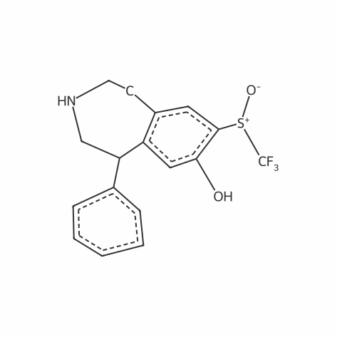 [O-][S+](c1cc2c(cc1O)C(c1ccccc1)CNCC2)C(F)(F)F